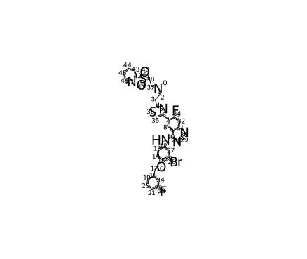 CN(CCc1nc(-c2cc3c(Nc4ccc(OCc5cccc(F)c5)c(Br)c4)ncnc3cc2F)cs1)CCS(=O)(=O)c1ccccn1